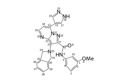 COc1cccc(NC(=O)c2nn3c(-c4cn[nH]c4)ccnc3c2N2Cc3ccccc3C2)c1